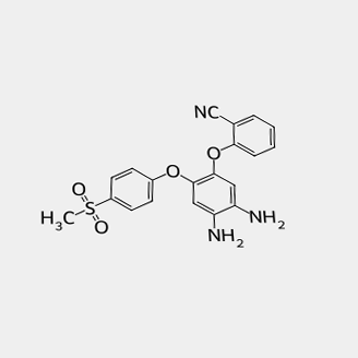 CS(=O)(=O)c1ccc(Oc2cc(N)c(N)cc2Oc2ccccc2C#N)cc1